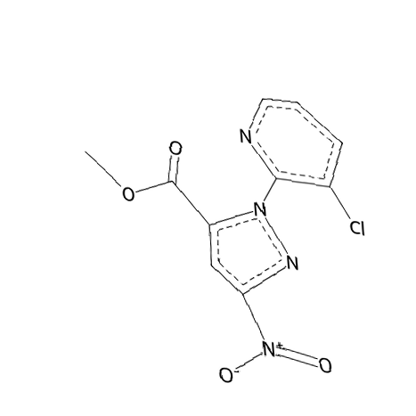 COC(=O)c1cc([N+](=O)[O-])nn1-c1ncccc1Cl